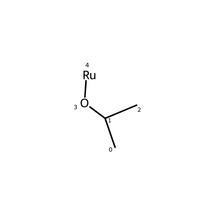 CC(C)[O][Ru]